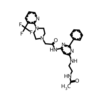 CC(=O)NCCNc1cc(NC(=O)CN2CCN(c3ncccc3C(F)(F)F)CC2)nc(-c2ccccc2)n1